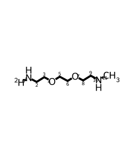 [2H]NCCOCCOCCNC